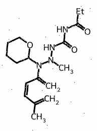 C=C(C)/C=C\C(=C)N(C1CCCCO1)N(C)NC(=O)NC(=O)CC